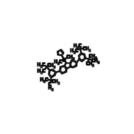 CC(C)(C)c1cc(-c2ccc3c(c2)C([Si](C)(C)C2C=CC=C2)c2cc(-c4cc(C(C)(C)C)cc(C(C)(C)C)c4)ccc2-3)cc(C(C)(C)C)c1